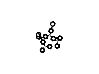 c1ccc(N(c2ccccc2)c2ccc(C3(c4ccc(N(c5ccc(C6CCCCC6)cc5)c5ccc6c(c5)c5ccccc5n6-c5ccccc5)cc4)C4CC5CC(C4)CC3C5)cc2)cc1